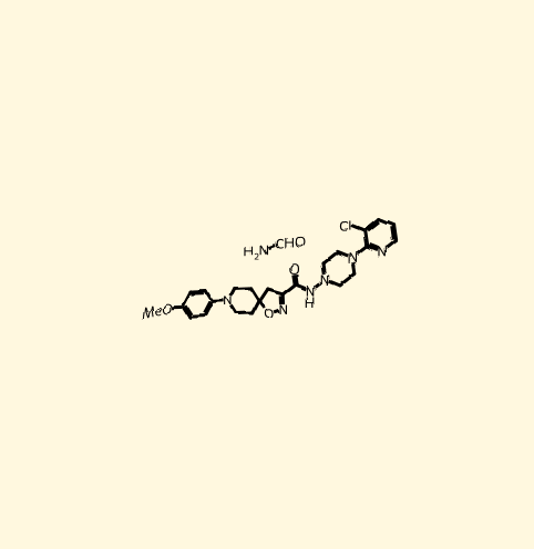 COc1ccc(N2CCC3(CC2)CC(C(=O)NN2CCN(c4ncccc4Cl)CC2)=NO3)cc1.NC=O